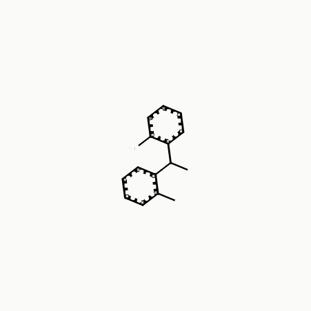 CCc1ccccc1C(C)c1ccccc1C